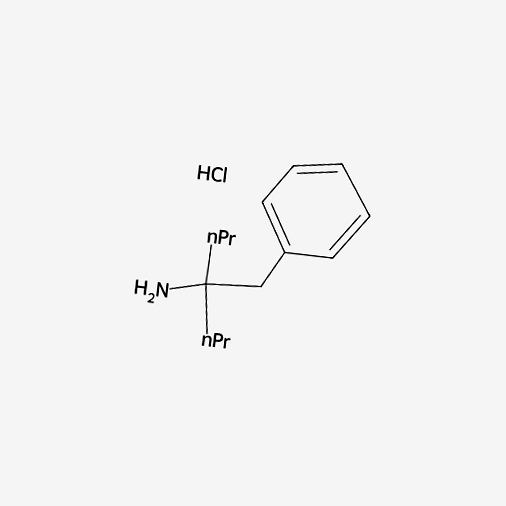 CCCC(N)(CCC)Cc1ccccc1.Cl